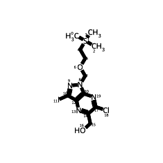 CS(C)(C)CCOCn1nc(I)c2nc(CO)c(Cl)nc21